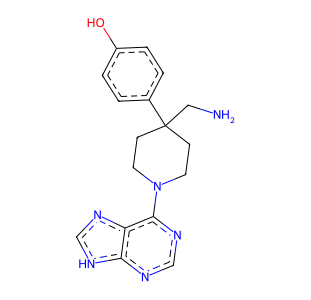 NCC1(c2ccc(O)cc2)CCN(c2ncnc3[nH]cnc23)CC1